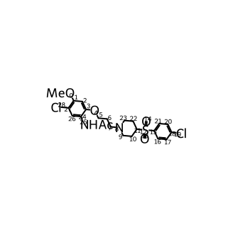 COc1cc(OCCCN2CCC(S(=O)(=O)c3ccc(Cl)cc3)CC2)c(NC(C)=O)cc1Cl